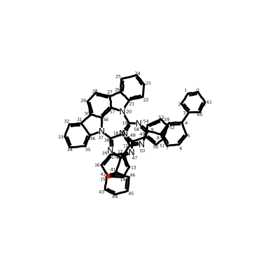 c1ccc(-c2cccc(-c3nc(-c4ccccc4)nc(-n4c5ccccc5c5ccc6c7ccccc7n(-c7nc(-c8ccccc8)nc(-c8ccccc8)n7)c6c54)n3)c2)cc1